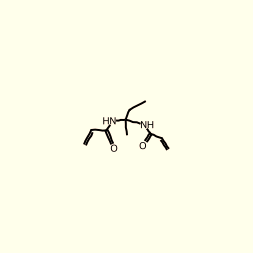 C=CC(=O)NC(C)(CC)NC(=O)C=C